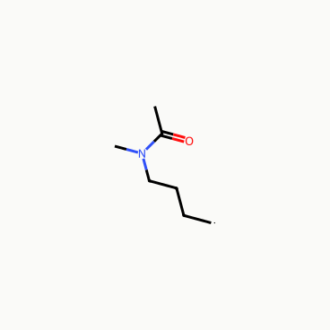 [CH2]CCCN(C)C(C)=O